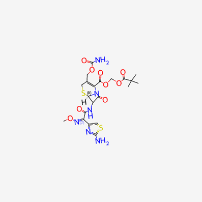 CO/N=C(\C(=O)NC1C(=O)N2C(C(=O)OCOC(=O)C(C)(C)C)=C(COC(N)=O)CS[C@H]12)c1csc(N)n1